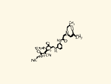 CCn1c(=C(C#N)C(=O)NCC#N)sc(=CNc2cccc(NC(=O)CN3CC(C)OC(C)C3)c2)c1=O